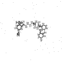 Cc1ccc(Sc2ccccc2N2CCN(CCCCc3c[nH]c4ccc(C#N)cc34)CC2)c(C)c1